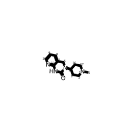 CN1CCC(N2Cc3cccnc3NC2=O)CC1